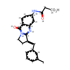 Cc1cccc(C=C2CCn3c2nc2cc(NC(=O)CC(=O)O)ccc2c3=O)c1